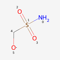 NS(=O)(=O)C[O]